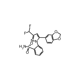 NS(=O)(=O)c1ccccc1-n1nc(C(F)F)cc1-c1ccc2c(c1)OCO2